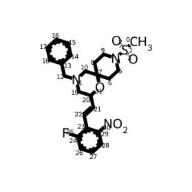 CS(=O)(=O)N1CCC2(CC1)CN(Cc1ccccc1)CC(C=Cc1c(F)cccc1[N+](=O)[O-])O2